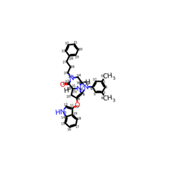 Cc1cc(C)cc(N2C3=C(Oc4c[nH]c5ccccc45)C[C@H]4C(=O)N(CCCc5ccccc5)C[C@H]2N34)c1